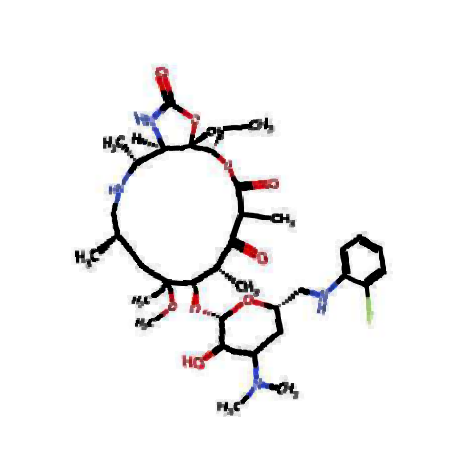 CC[C@@H]1OC(=O)C(C)C(=O)[C@H](C)[C@@H](O[C@@H]2O[C@H](CNc3ccccc3F)CC(N(C)C)C2O)[C@](C)(OC)C[C@@H](C)CN[C@H](C)[C@H]2NC(=O)O[C@]12C